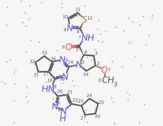 CO[C@@H]1C[C@H](C(=O)Nc2nccs2)N(c2nc3c(c(Nc4cc(C5CCCC5)[nH]n4)n2)CCC3)C1